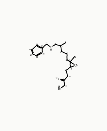 CC(CCCC1(C)OC1CCC(=O)CBr)COCc1ccccc1